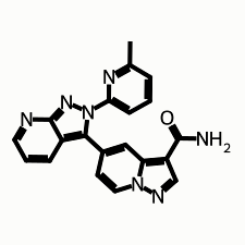 Cc1cccc(-n2nc3ncccc3c2-c2ccn3ncc(C(N)=O)c3c2)n1